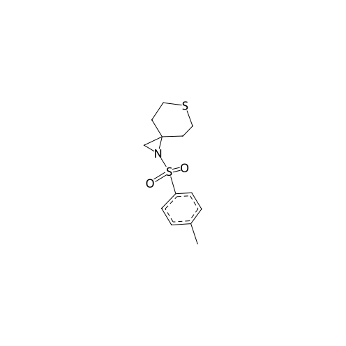 Cc1ccc(S(=O)(=O)N2CC23CCSCC3)cc1